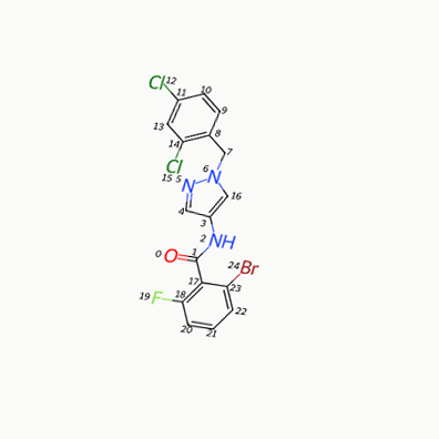 O=C(Nc1cnn(Cc2ccc(Cl)cc2Cl)c1)c1c(F)cccc1Br